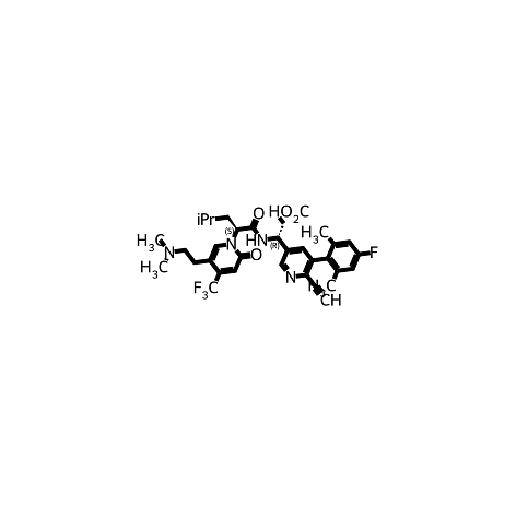 C#Cc1ncc([C@@H](CC(=O)O)NC(=O)[C@H](CC(C)C)n2cc(CCN(C)C)c(C(F)(F)F)cc2=O)cc1-c1c(C)cc(F)cc1C